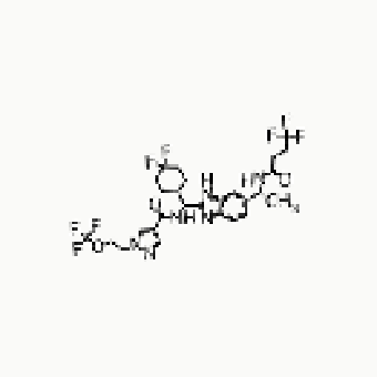 C[C@@H](NC(=O)CCC(F)(F)F)c1ccc2nc([C@@H](NC(=O)c3cnn(CCOC(F)(F)F)c3)C3CCC(F)(F)CC3)[nH]c2c1